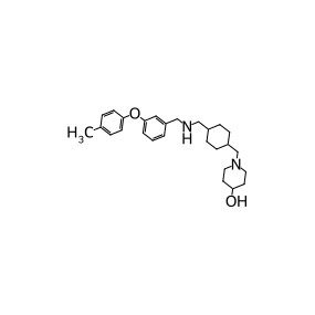 Cc1ccc(Oc2cccc(CNCC3CCC(CN4CCC(O)CC4)CC3)c2)cc1